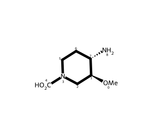 CO[C@H]1CN(C(=O)O)CC[C@@H]1N